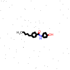 CCCCCc1ccc(C(=O)Nc2ccc(O)cc2)cc1